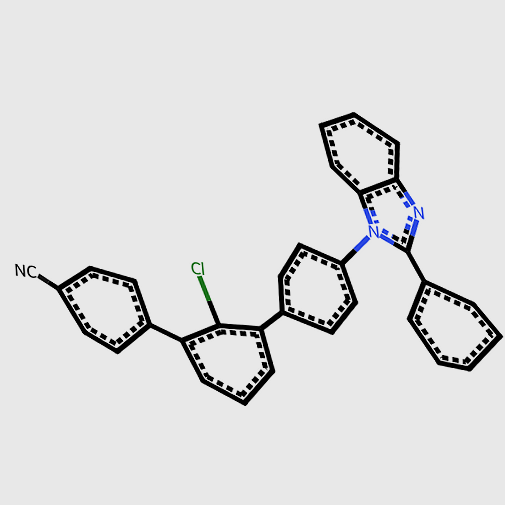 N#Cc1ccc(-c2cccc(-c3ccc(-n4c(-c5ccccc5)nc5ccccc54)cc3)c2Cl)cc1